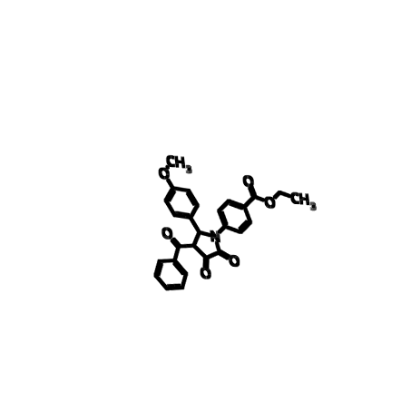 CCOC(=O)c1ccc(N2C(=O)C(=O)C(C(=O)c3ccccc3)C2c2ccc(OC)cc2)cc1